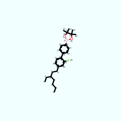 CCCCC(CC)CCc1ccc(-c2ccc(B3OC(C)(C)C(C)(C)O3)cc2)c(F)c1